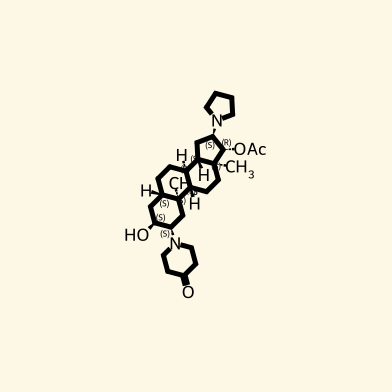 CC(=O)O[C@H]1[C@@H](N2CCCC2)C[C@H]2[C@@H]3CC[C@H]4C[C@H](O)[C@@H](N5CCC(=O)CC5)C[C@]4(C)[C@H]3CC[C@@]21C